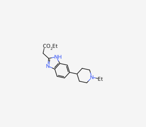 CCOC(=O)Cc1nc2ccc(C3CCN(CC)CC3)cc2[nH]1